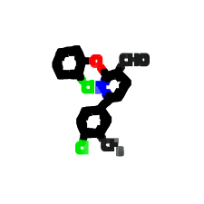 O=Cc1ccc(-c2ccc(Cl)c(C(F)(F)F)c2)nc1Oc1ccccc1Cl